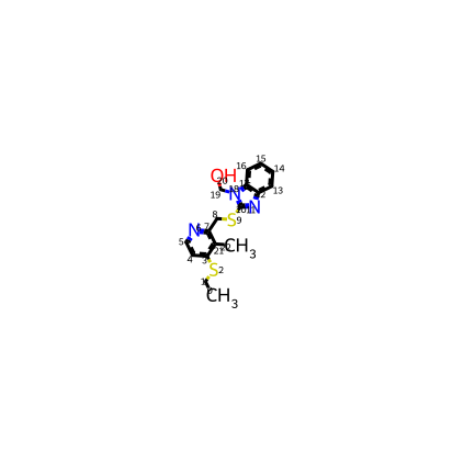 CCSc1ccnc(CSc2nc3ccccc3n2CO)c1C